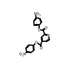 O=C(Oc1ccc([N+](=O)[O-])cc1)c1ccnc(C(=O)Oc2ccc([N+](=O)[O-])cc2)c1